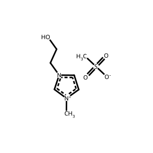 CS(=O)(=O)[O-].C[n+]1ccn(CCO)c1